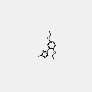 CCOc1ccc(OCC)c(-n2ccc(C)n2)c1